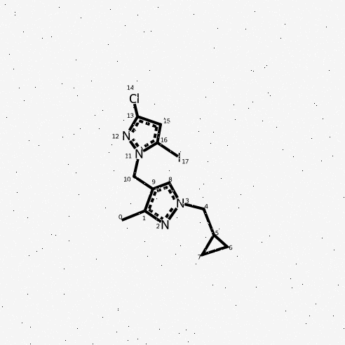 Cc1nn(CC2CC2)cc1Cn1nc(Cl)cc1I